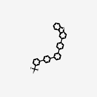 FC(F)(F)c1cccc(-c2ccc(-c3cccc(-c4ccc(-c5ccc6sc7ccccc7c6c5)cc4)c3)cc2)c1